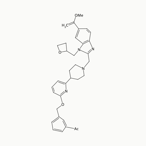 C=C(OC)c1ccc2nc(CN3CCC(c4cccc(OCc5cccc(C(C)=O)c5)n4)CC3)n(CC3CCO3)c2c1